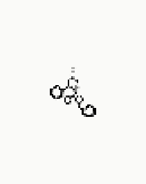 O=C(OCc1ccccc1)N1CCC(F)CC1c1ccccc1